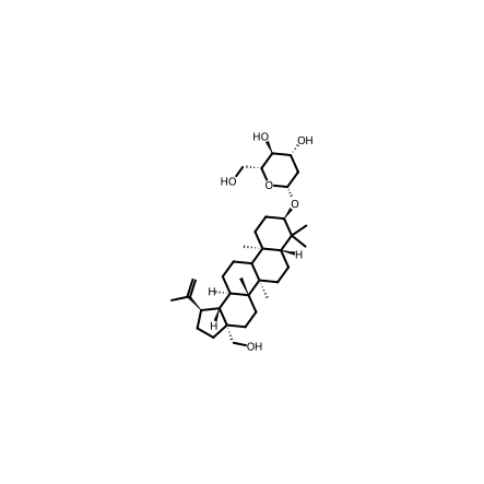 C=C(C)[C@@H]1CC[C@]2(CO)CC[C@]3(C)[C@H](CCC4[C@@]5(C)CC[C@@H](O[C@H]6C[C@@H](O)[C@H](O)[C@@H](CO)O6)C(C)(C)[C@@H]5CC[C@]43C)[C@@H]12